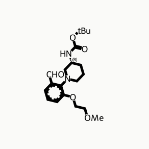 COCCOc1cccc(C=O)c1N1CCC[C@@H](NC(=O)OC(C)(C)C)C1